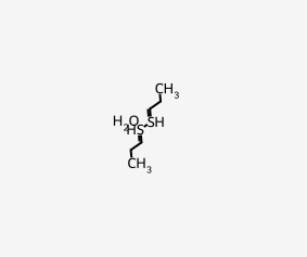 CCC=[SH][SH]=CCC.O